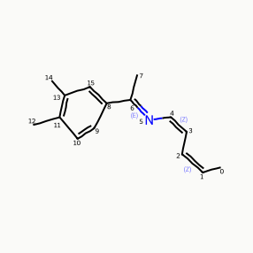 C\C=C/C=C\N=C(/C)c1ccc(C)c(C)c1